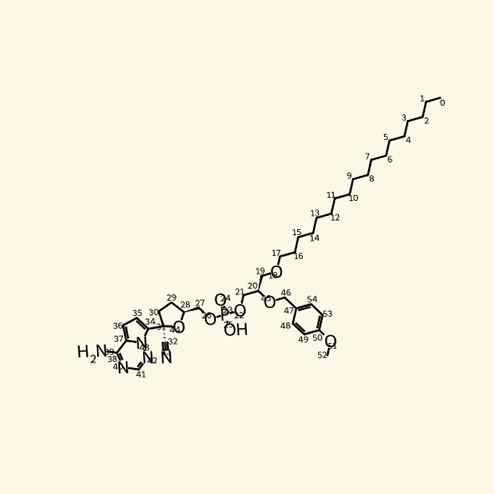 CCCCCCCCCCCCCCCCCCOC[C@H](COP(=O)(O)OC[C@@H]1CC[C@](C#N)(c2ccc3c(N)ncnn23)O1)OCc1ccc(OC)cc1